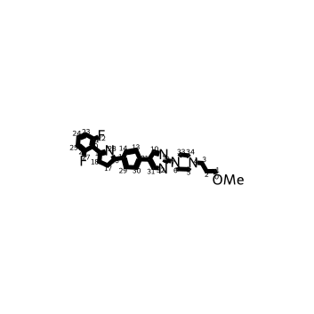 COCCCN1CCN(c2ncc(-c3ccc(C4CCC(c5c(F)cccc5F)=N4)cc3)cn2)CC1